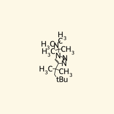 CN(C)C(C)(C)n1cc(C(C)(C)CC(C)(C)C)nn1